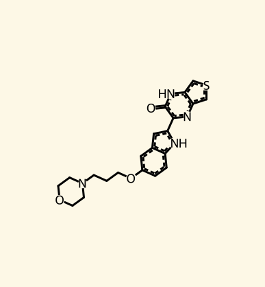 O=c1[nH]c2cscc2nc1-c1cc2cc(OCCCN3CCOCC3)ccc2[nH]1